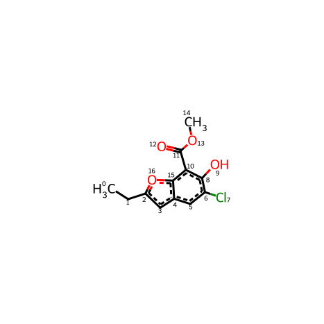 CCc1cc2cc(Cl)c(O)c(C(=O)OC)c2o1